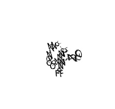 Cc1ccc(N2CCN(CCCn3ccc4c3CCCC4=O)CC2)cc1C.Cc1ccc(N2CCN(CCn3ccc4c3CCCC4=O)CC2)cc1C.O=C1CCCc2c1ccn2CCCCN1CCN(c2ccc(F)c(F)c2)CC1